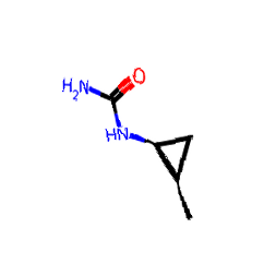 C[C@@H]1C[C@@H]1NC(N)=O